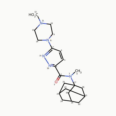 CN(C(=O)c1ccc(N2CCN(C(=O)O)CC2)nn1)C12CC3CC(CC(C3)C1)C2